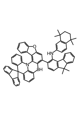 CC1(C)CCC(C)(C)c2cc(Nc3c(-c4cc5oc6ccccc6c5c5c4Bc4cccc6c4N5c4ccccc4C64c5ccccc5-c5ccccc54)ccc4c3-c3ccccc3C4(C)C)ccc21